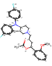 COc1ccccc1C(CCCN1CCC2C(C1)c1cc(F)ccc1N2c1ccc(F)cc1)OC(C)=O